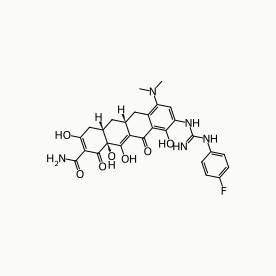 CN(C)c1cc(NC(=N)Nc2ccc(F)cc2)c(O)c2c1C[C@H]1C[C@H]3CC(O)=C(C(N)=O)C(=O)[C@@]3(O)C(O)=C1C2=O